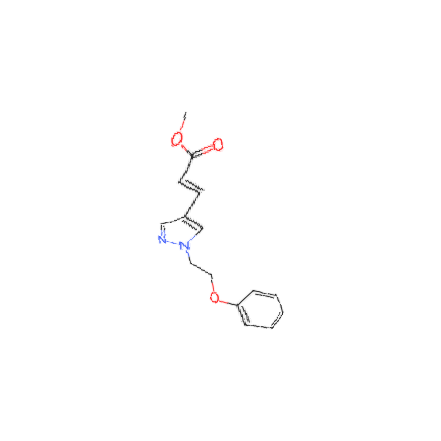 COC(=O)/C=C/c1cnn(CCOc2ccccc2)c1